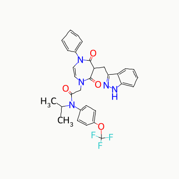 CC(C)N(C(=O)CN1C=CN(c2ccccc2)C(=O)C(Cc2n[nH]c3ccccc23)C1=O)c1ccc(OC(F)(F)F)cc1